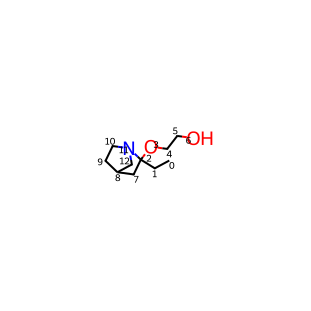 CCC1(OCCO)CC2CCN1C2